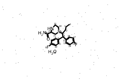 CCCC(C(c1ccc(F)cc1)c1ccc(F)cc1)N1CCNC(C(N)=O)C1.O